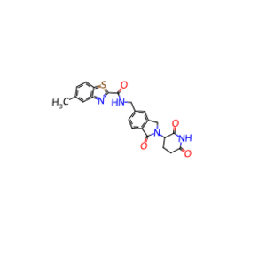 Cc1ccc2sc(C(=O)NCc3ccc4c(c3)CN(C3CCC(=O)NC3=O)C4=O)nc2c1